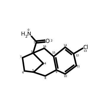 NC(=O)C12[CH]C(CC1)Cc1ccc(Cl)cc1C2